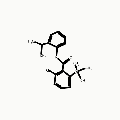 CC(C)c1ccccc1NC(=O)c1c(Cl)cccc1[Si](C)(C)C